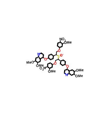 COc1cc2nccc(Oc3ccc(C(COc4ccc([N+](=O)[O-])c(OC)c4)[S+]([O-])C(COc4ccc([N+](=O)[O-])c(OC)c4)c4ccc(Oc5ccnc6cc(OC)c(OC)cc56)cc4)cc3)c2cc1OC